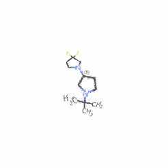 CC(C)(C)N1CC[C@H](N2CCC(F)(F)C2)C1